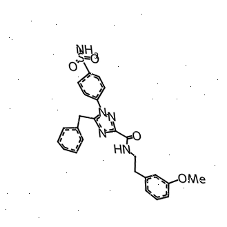 COc1cccc(CCNC(=O)c2nc(Cc3ccccc3)n(-c3ccc(S(N)(=O)=O)cc3)n2)c1